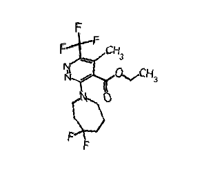 CCOC(=O)c1c(N2CCCC(F)(F)CC2)nnc(C(F)(F)F)c1C